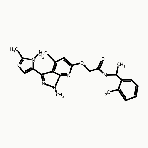 Cc1ccccc1C(C)NC(=O)COc1cc(C)c2c(-c3cnc(C)n3C)nn(C)c2n1